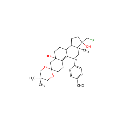 CC1(C)COC2(CCC3=C4C(CCC3(O)C2)C2CCC(O)(CF)C2(C)C[C@@H]4c2ccc(C=O)cc2)OC1